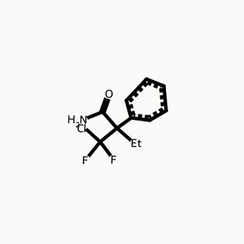 CCC(C(N)=O)(c1ccccc1)C(F)(F)Cl